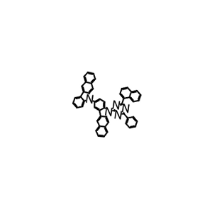 c1ccc(-c2nc(-c3cccc4ccccc34)nc(-n3c4ccc(-n5c6ccccc6c6cc7ccccc7cc65)cc4c4cc5ccccc5cc43)n2)cc1